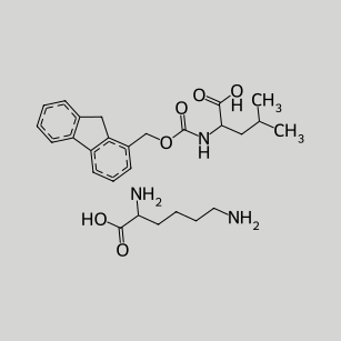 CC(C)CC(NC(=O)OCc1cccc2c1Cc1ccccc1-2)C(=O)O.NCCCCC(N)C(=O)O